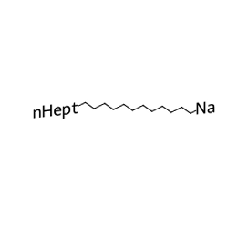 CCCCCCCCCCCCCCCCCC[CH2][Na]